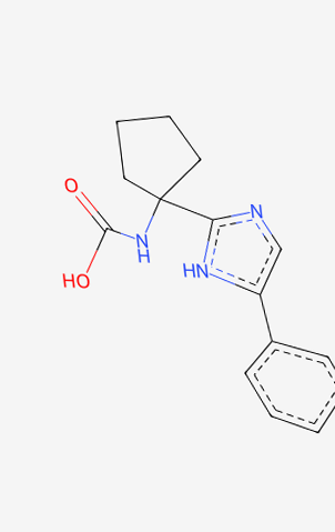 O=C(O)NC1(c2ncc(-c3ccccc3)[nH]2)CCCC1